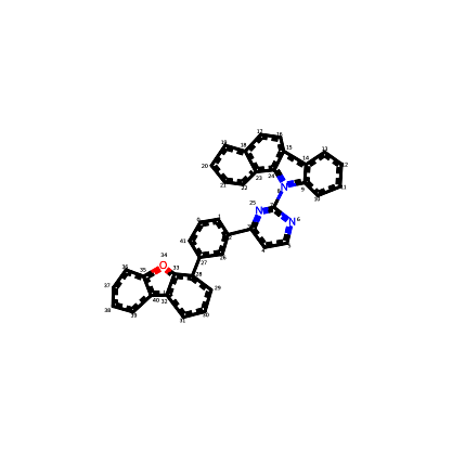 c1cc(-c2ccnc(-n3c4ccccc4c4ccc5ccccc5c43)n2)cc(-c2cccc3c2oc2ccccc23)c1